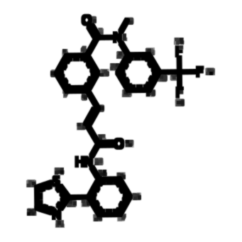 CN(C(=O)c1cccc(C=CC(=O)Nc2ccccc2-c2nccs2)c1)c1cccc(C(F)(F)F)c1